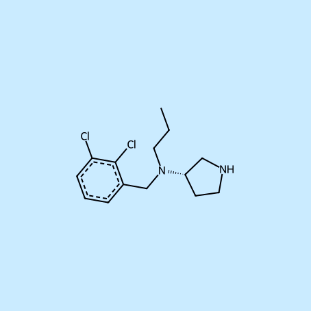 CCCN(Cc1cccc(Cl)c1Cl)[C@H]1CCNC1